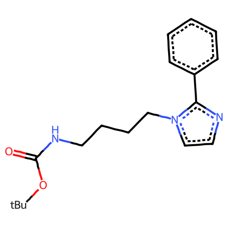 CC(C)(C)OC(=O)NCCCCn1ccnc1-c1ccccc1